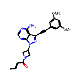 CC=CC(=O)N1CC(n2nc(C#Cc3cc(OC)cc(OC)c3)c3c(N)ncnc32)C1